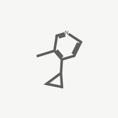 Cc1[c]nccc1C1CC1